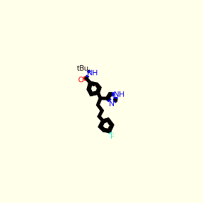 CC(C)(C)NC(=O)c1ccc(C(CCCc2ccc(F)cc2)c2c[nH]cn2)cc1